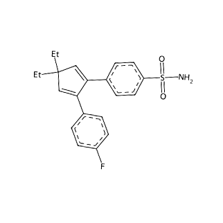 CCC1(CC)C=C(c2ccc(F)cc2)C(c2ccc(S(N)(=O)=O)cc2)=C1